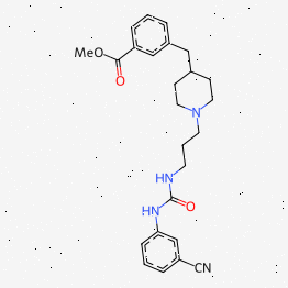 COC(=O)c1cccc(CC2CCN(CCCNC(=O)Nc3cccc(C#N)c3)CC2)c1